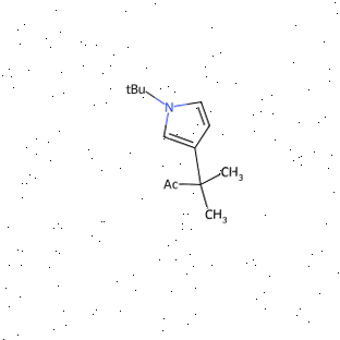 CC(=O)C(C)(C)c1ccn(C(C)(C)C)c1